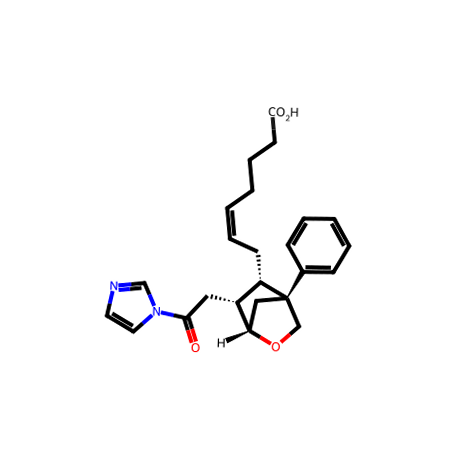 O=C(O)CCC/C=C\C[C@H]1[C@@H](CC(=O)n2ccnc2)[C@@H]2C[C@@]1(c1ccccc1)CO2